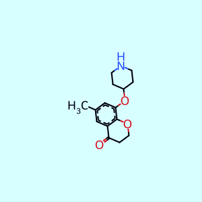 Cc1cc(OC2CCNCC2)c2c(c1)C(=O)CCO2